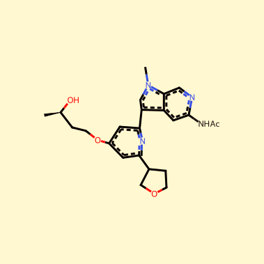 CC(=O)Nc1cc2c(-c3cc(OCC[C@@H](C)O)cc(C4CCOC4)n3)cn(C)c2cn1